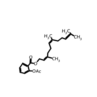 CC(=O)Oc1ccccc1C(=O)OCC=C(C)CCC=C(C)CCC=C(C)C